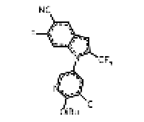 CC(C)COc1ncc(-n2c(C(F)(F)F)cc3cc(C#N)c(F)cc32)cc1Cl